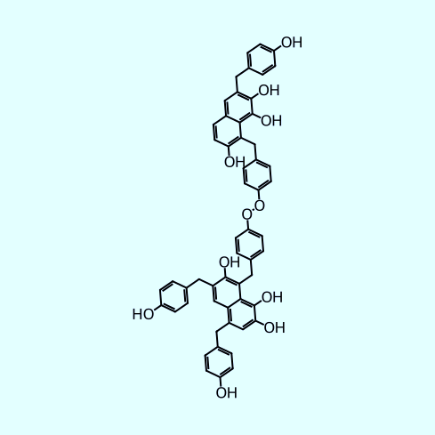 Oc1ccc(Cc2cc3ccc(O)c(Cc4ccc(OOc5ccc(Cc6c(O)c(Cc7ccc(O)cc7)cc7c(Cc8ccc(O)cc8)cc(O)c(O)c67)cc5)cc4)c3c(O)c2O)cc1